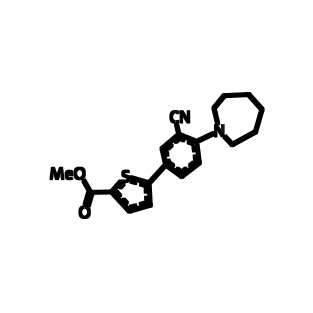 COC(=O)c1ccc(-c2ccc(N3CCCCCC3)c(C#N)c2)s1